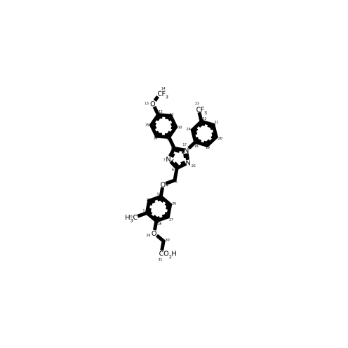 Cc1cc(OCc2nc(-c3ccc(OC(F)(F)F)cc3)n(-c3cccc(C(F)(F)F)c3)n2)ccc1OCC(=O)O